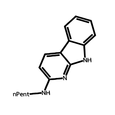 CCCCCNc1ccc2c(n1)[nH]c1ccccc12